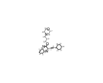 C(#Cc1nc2cscc2nc1OCCCN1CCOCC1)c1ccccc1